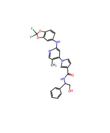 Cc1cnc(Nc2ccc3c(c2)OC(F)(F)O3)cc1-n1ccc(C(=O)NC(CO)c2ccccc2)c1